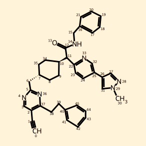 C#Cc1cnc(C[C@H]2CC[C@H](C(C(=O)NCc3ccccc3)c3ccc(-c4cnn(C)c4)cn3)CC2)nc1CCc1ccccc1